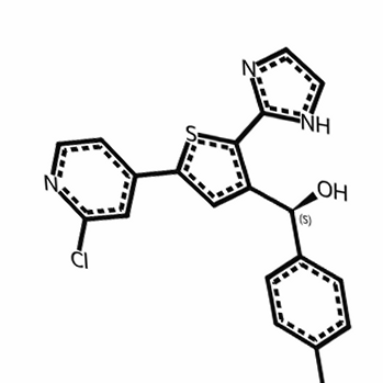 O[C@@H](c1ccc(Cl)cc1)c1cc(-c2ccnc(Cl)c2)sc1-c1ncc[nH]1